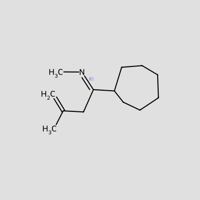 C=C(C)C/C(=N\C)C1CCCCCC1